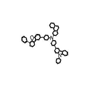 c1ccc(-c2cccc3c2oc2ccc(-c4ccc(N(c5ccc(-c6ccc7c(c6)c6ccccc6n7-c6ccccc6)cc5)c5ccc6ccc7ccccc7c6c5)cc4)cc23)cc1